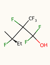 CC[C@](C)(F)C(F)(C(O)(F)F)C(F)(F)F